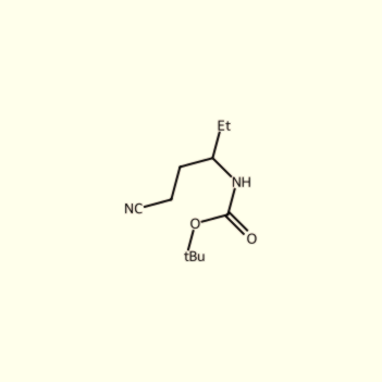 CCC(CCC#N)NC(=O)OC(C)(C)C